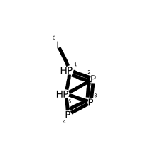 I[PH]1=P2=P3=P[PH]321